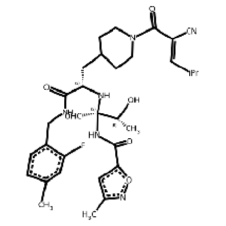 Cc1ccc(CNC(=O)[C@H](CC2CCN(C(=O)C(C#N)=CC(C)C)CC2)N[C@](C=O)(NC(=O)c2cc(C)no2)[C@@H](C)O)c(F)c1